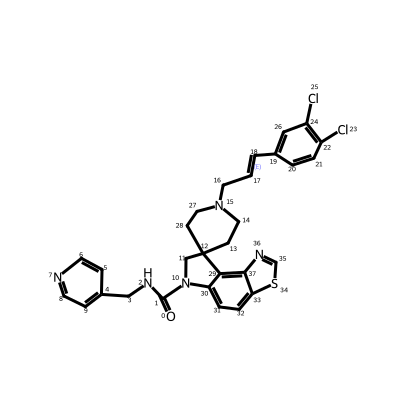 O=C(NCc1ccncc1)N1CC2(CCN(C/C=C/c3ccc(Cl)c(Cl)c3)CC2)c2c1ccc1scnc21